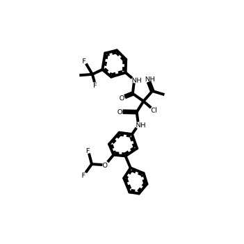 CC(=N)C(Cl)(C(=O)Nc1cccc(C(C)(F)F)c1)C(=O)Nc1ccc(OC(F)F)c(-c2ccccc2)c1